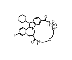 CN1CCOCCN(C)S(=O)(=O)NC(=O)c2ccc3c(C4CCCCC4)c4n(c3c2)CC(=CC2C=C(F)C=CC42)C1=O